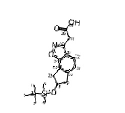 CC(C)(C)[Si](C)(C)OC1Cc2ccc3c(CC(=O)O)noc3c2C1